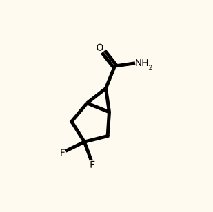 NC(=O)C1C2CC(F)(F)CC21